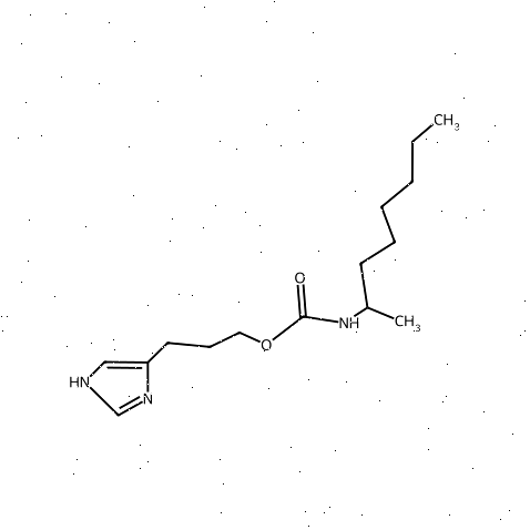 CCCCCCC(C)NC(=O)OCCCc1c[nH]cn1